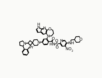 CC(C)c1ccccc1C1CCCN1C1CC2(CCN(c3ccc(C(=O)NS(=O)(=O)c4cc([N+](=O)[O-])c(NCC5CCOCC5)cn4)c(N4CCCOc5nc6[nH]ccc6cc54)c3)CC2)C1